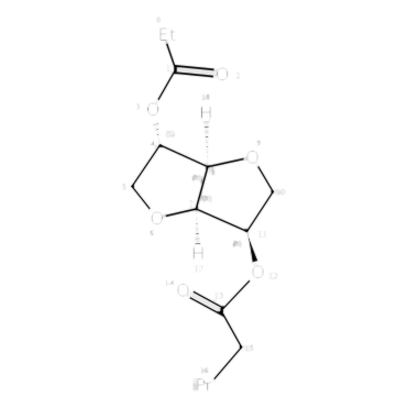 CCC(=O)O[C@H]1CO[C@H]2[C@@H]1OC[C@H]2OC(=O)CC(C)C